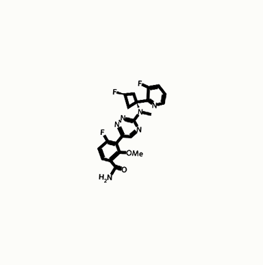 COc1c(C(N)=O)ccc(F)c1-c1cnc(N(C)[C@]2(c3ncccc3F)C[C@@H](F)C2)nn1